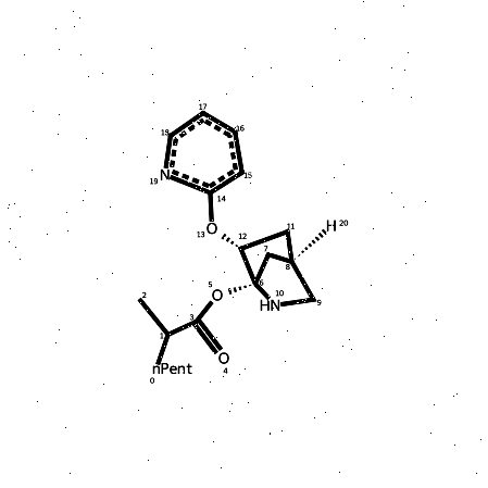 CCCCCC(C)C(=O)O[C@]12C[C@H](CN1)C[C@H]2Oc1ccccn1